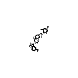 Cc1cc(F)cnc1NC[C@@H]1CC[C@H]2CN(c3noc4ccc(F)cc34)CCN2C1